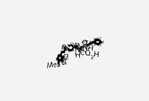 CSc1ccc(/C=C/C(=O)N2CCC(C(=O)N[C@@H](CNC(=O)CCc3ccccc3)C(=O)O)CC2)c(Cl)c1Cl